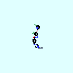 CCCCN1CCN(Cc2ccc(C(=O)Nc3ccc(OCc4cccc(Cl)n4)c(Cl)c3)cc2)CC1